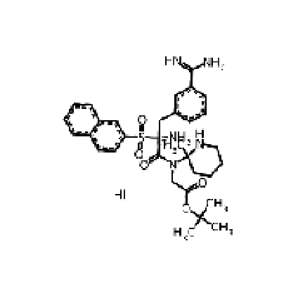 CC(C)(C)OC(=O)CN(C(=O)[C@@](N)(Cc1cccc(C(=N)N)c1)S(=O)(=O)c1ccc2ccccc2c1)C1(C)CCCCN1.I